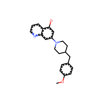 COc1ccc(CC2CCN(c3cc([O])c4cccnc4c3)CC2)cc1